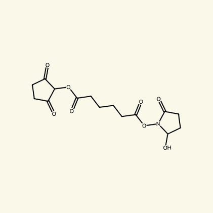 O=C(CCCCC(=O)ON1C(=O)CCC1O)OC1C(=O)CCC1=O